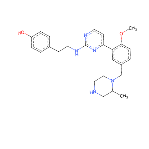 COc1ccc(CN2CCNCC2C)cc1-c1ccnc(NCCc2ccc(O)cc2)n1